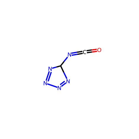 O=C=NC1N=NN=N1